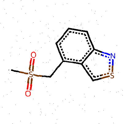 [CH2]S(=O)(=O)Cc1cccc2nscc12